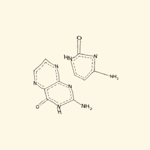 Nc1cc[nH]c(=O)n1.Nc1nc2nccnc2c(=O)[nH]1